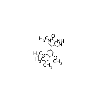 COc1cc(-c2cn(C)c(=O)c3[nH]ncc23)cc(OC)c1CC(C)C